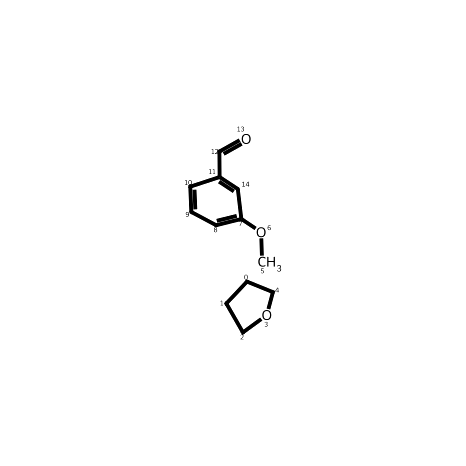 C1CCOC1.COc1cccc(C=O)c1